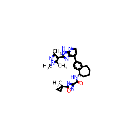 Cc1nn(C)c(C)c1-c1nc2c(-c3ccc4c(c3)CCCC[C@@H]4NC(=O)c3noc(C4(C)CC4)n3)ccnc2[nH]1